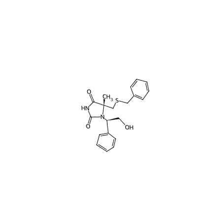 C[C@]1(CSCc2ccccc2)C(=O)NC(=O)N1[C@@H](CO)c1ccccc1